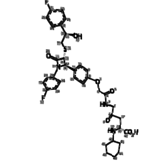 O=C(CNC(=O)COc1ccc([C@@H]2[C@@H](SC[C@H](O)c3ccc(F)cc3)C(=O)N2c2ccc(F)cc2)cc1)C[C@@H](NC1CCCCC1)C(=O)O